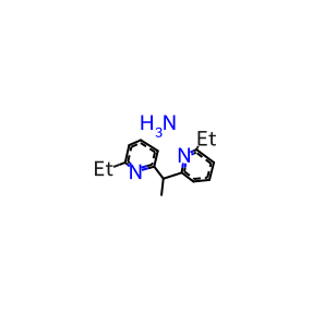 CCc1cccc(C(C)c2cccc(CC)n2)n1.N